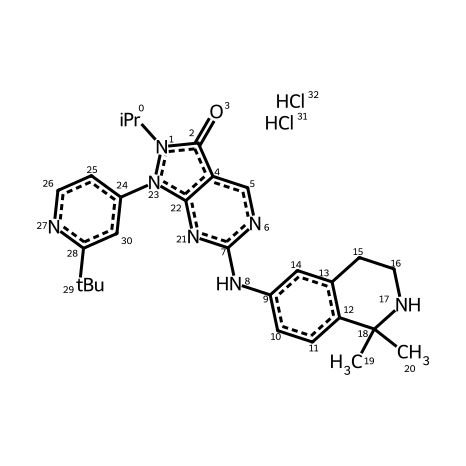 CC(C)n1c(=O)c2cnc(Nc3ccc4c(c3)CCNC4(C)C)nc2n1-c1ccnc(C(C)(C)C)c1.Cl.Cl